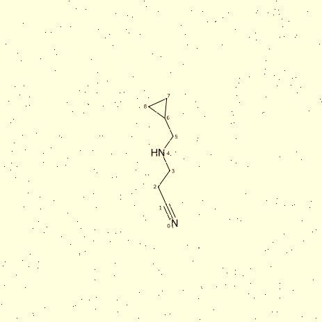 N#CCCNCC1CC1